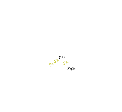 [C+4].[S-2].[S-2].[S-2].[Zn+2]